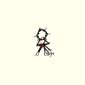 CCN1C(=O)C2CC(C)(C(=O)O)C1c1ccccc12